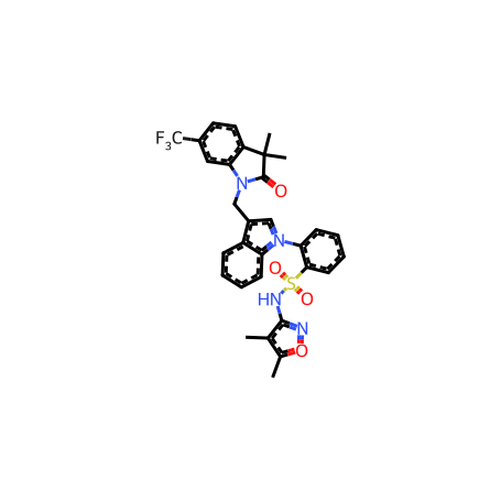 Cc1onc(NS(=O)(=O)c2ccccc2-n2cc(CN3C(=O)C(C)(C)c4ccc(C(F)(F)F)cc43)c3ccccc32)c1C